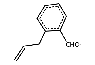 C=CCc1ccccc1[C]=O